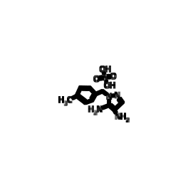 Cc1ccc(Cn2ncc(N)c2N)cc1.O=S(=O)(O)O